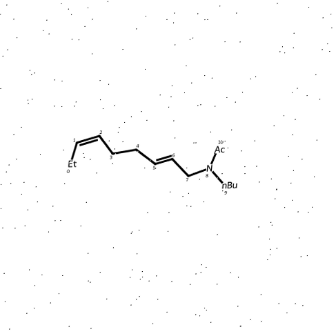 CC/C=C\CC/C=C/CN(CCCC)C(C)=O